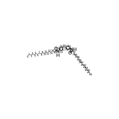 CCCCCCCCCCCCCCCCCC(=O)Nc1ccc(Cc2ccc(NC(=O)CCCCCCCCCCCCCCCCC)cc2)cc1